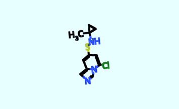 CC1(NSc2cc(Cl)n3cncc3c2)CC1